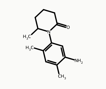 Cc1cc(C)c(N2C(=O)CCCC2C)cc1N